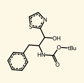 CC(C)(C)OC(=O)NC(Cc1ccccc1)C(O)c1nccs1